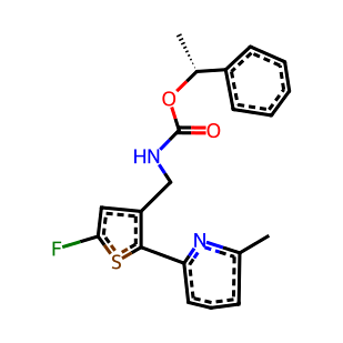 Cc1cccc(-c2sc(F)cc2CNC(=O)O[C@H](C)c2ccccc2)n1